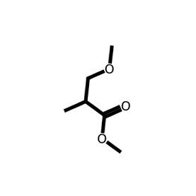 COCC(C)C(=O)OC